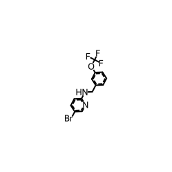 FC(F)(F)Oc1cccc(CNc2ccc(Br)cn2)c1